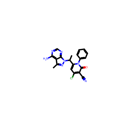 Cc1nn(C(C)c2cc(Cl)c(C#N)c(=O)n2-c2ccccc2)c2ncnc(N)c12